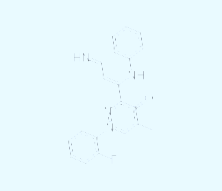 Cc1cn(-c2ccccc2F)nc(/C(=C/C=N)Nc2ccccc2)c1=O